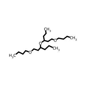 CCCCOCCC(CCC)OC(CCC)CCOCCCC